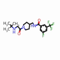 CC(C)(C)NCC(=O)N1CCC(CNC(=O)c2cc(F)cc(C(F)(F)F)c2)CC1